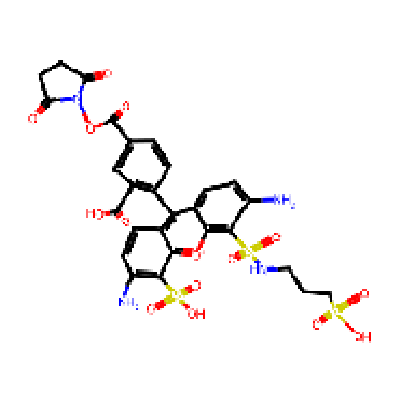 Nc1ccc2c(-c3ccc(C(=O)ON4C(=O)CCC4=O)cc3C(=O)O)c3ccc(N)c(S(=O)(=O)NCCCS(=O)(=O)O)c3[o+]c2c1S(=O)(=O)O